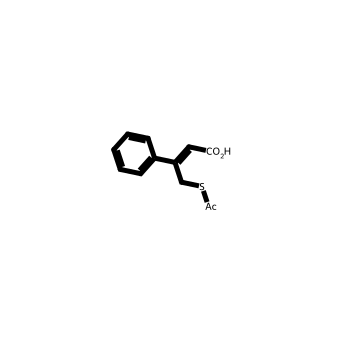 CC(=O)SCC(=CC(=O)O)c1ccccc1